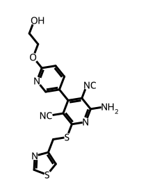 [C-]#[N+]c1c(N)nc(SCc2cscn2)c(C#N)c1-c1ccc(OCCO)nc1